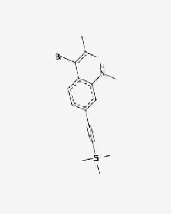 CNc1cc(C#C[Si](C)(C)C)ccc1C(Br)=C(C)C